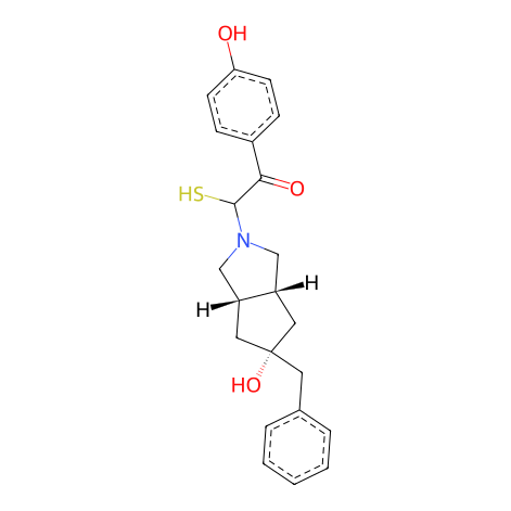 O=C(c1ccc(O)cc1)C(S)N1C[C@@H]2C[C@@](O)(Cc3ccccc3)C[C@@H]2C1